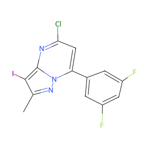 Cc1nn2c(-c3cc(F)cc(F)c3)cc(Cl)nc2c1I